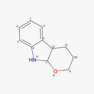 c1ccc2c(c1)NC1OCCCC21